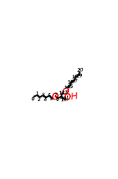 CCCCCCCOCC(CO)COCCCCCCC